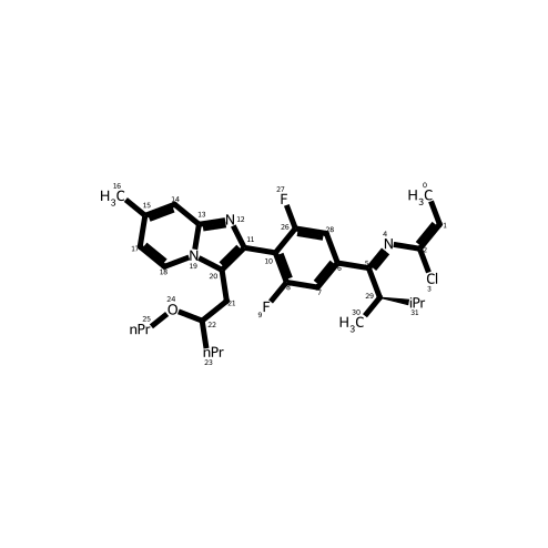 C/C=C(Cl)\N=C(\c1cc(F)c(-c2nc3cc(C)ccn3c2CC(CCC)OCCC)c(F)c1)[C@H](C)C(C)C